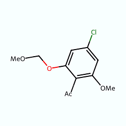 COCOc1cc(Cl)cc(OC)c1C(C)=O